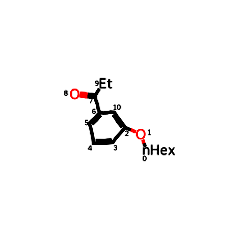 CCCCCCOc1cccc(C(=O)CC)c1